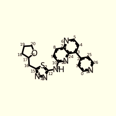 c1cc(-c2ccnc3ccc(Nc4nnc(CC5CCCO5)s4)nc23)ccn1